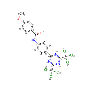 COc1ccc(C(=O)Nc2ccc(-c3nc(C(Cl)(Cl)Cl)nc(C(Cl)(Cl)Cl)n3)cc2)cc1